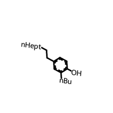 CCCCCCCCCc1ccc(O)c(CCCC)c1